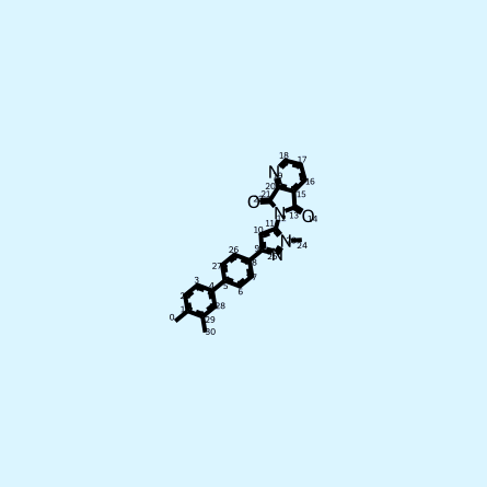 Cc1ccc(-c2ccc(-c3cc(N4C(=O)c5cccnc5C4=O)n(C)n3)cc2)cc1C